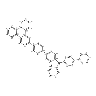 c1ccc(-c2ccc(-n3c4ccccc4c4cc(-c5ccc(-c6ccc7c(c6)c6ccccc6c6nccnc76)cc5)ccc43)cc2)cc1